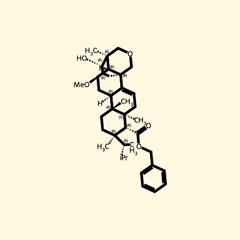 CO[C@@H]1C[C@@]23COC[C@@](C)([C@@H]2CC[C@H]2C3=CC[C@@]3(C)[C@H](C(=O)OCc4ccccc4)[C@@](C)([C@H](C)C(C)C)CC[C@]23C)[C@H]1O